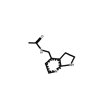 CC(=O)NCc1ccnc2c1CCN2